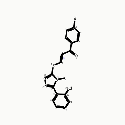 Cn1c(S/C=C/C(=O)c2ccc(F)cc2)nnc1-c1ccccc1Cl